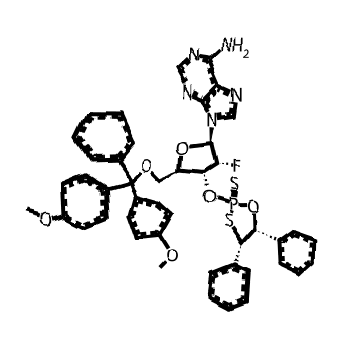 COc1ccc(C(OC[C@H]2O[C@@H](n3cnc4c(N)ncnc43)[C@H](F)[C@@H]2OP2(=S)O[C@H](c3ccccc3)[C@H](c3ccccc3)S2)(c2ccccc2)c2ccc(OC)cc2)cc1